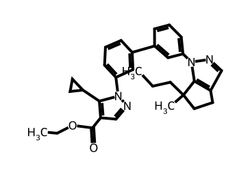 CCCC1(C)CCc2cnn(-c3cccc(-c4cccc(-n5ncc(C(=O)OCC)c5C5CC5)c4)c3)c21